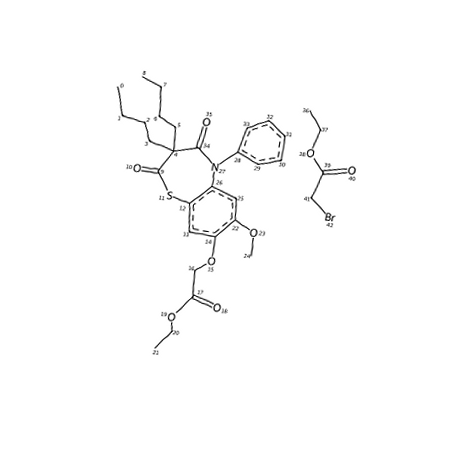 CCCCC1(CCCC)C(=O)Sc2cc(OCC(=O)OCC)c(OC)cc2N(c2ccccc2)C1=O.CCOC(=O)CBr